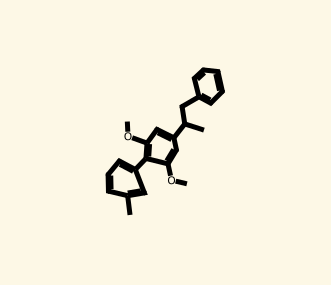 COc1cc(C(C)Cc2ccccc2)cc(OC)c1-c1cccc(C)c1